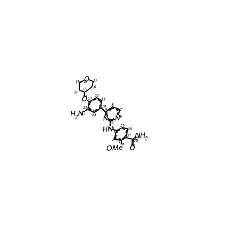 COc1cc(Nc2nccc(-c3ccc(OC4CCOCC4)c(N)c3)n2)ccc1C(N)=O